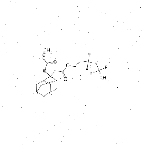 C=CC(=O)OC1(CC(=O)OCCC(F)(F)CC(C)(F)F)C2CC3CC(C2)CC1C3